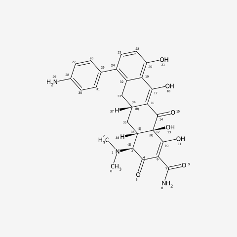 CN(C)[C@@H]1C(=O)C(C(N)=O)=C(O)[C@@]2(O)C(=O)C3=C(O)c4c(O)ccc(-c5ccc(N)cc5)c4C[C@H]3C[C@@H]12